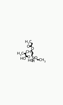 C=C(C)C(=O)O.C=CC(=O)OCCC[SiH](O)OCC